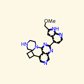 COCc1cc2c(-c3nc(N4CCNCC4)c4c(C5CCC5)cncc4n3)ccnc2[nH]1